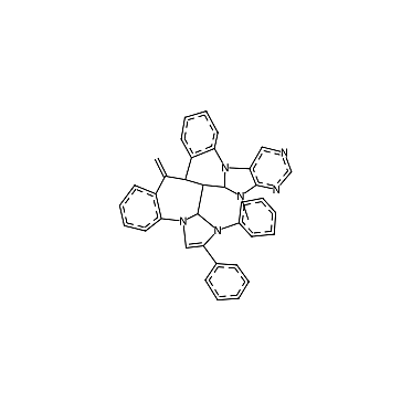 C=C1c2ccccc2N2C=C(c3ccccc3)N(c3ccccc3)C2C2C1c1ccccc1N1c3cncnc3N(C)C21